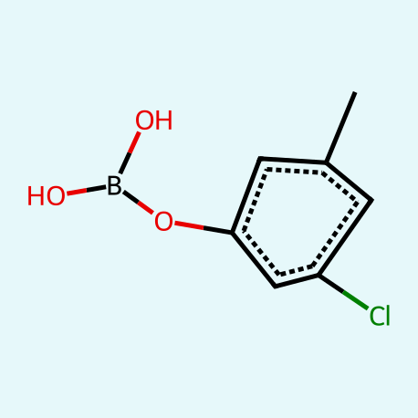 Cc1cc(Cl)cc(OB(O)O)c1